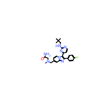 CN(CC(N)=O)Cc1ccn2c(-c3ccnc(NCC(C)(C)C)n3)c(-c3ccc(F)cc3)nc2c1